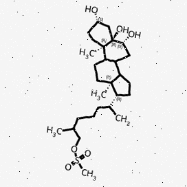 CC(CCCC(C)[C@H]1CCC2C3C[C@@H](O)[C@@]4(O)C[C@@H](O)CC[C@]4(C)C3CC[C@@]21C)COS(C)(=O)=O